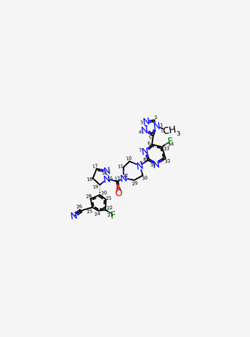 Cn1cnnc1-c1nc(N2CCN(C(=O)N3N=CC[C@H]3c3cc(F)cc(C#N)c3)CC2)ncc1F